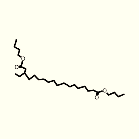 CCCCOC(=O)CCCCCCCCCCCCCCC(CC)CC(=O)OCCCC